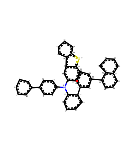 c1ccc(-c2ccc(N(c3ccc4sc5ccccc5c4c3)c3ccccc3-c3cccc(-c4cccc5ccccc45)c3)cc2)cc1